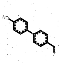 Oc1ccc(-c2ccc(CI)cc2)cc1